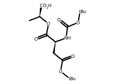 C[C@H](OC(=O)[C@H](CC(=O)OC(C)(C)C)NC(=O)OC(C)(C)C)C(=O)O